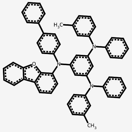 Cc1cccc(N(c2ccccc2)c2cc(N(c3ccccc3)c3cccc(C)c3)cc(N(c3ccc(-c4ccccc4)cc3)c3cccc4c3oc3ccccc34)c2)c1